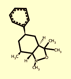 C[C@H]1C[C@@H](c2ccccc2)C[C@@H]2[C@@H]1N(C)OC2(C)C